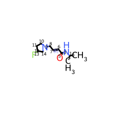 CC(C)NC(=O)/C=C/CN1CCC(F)C1